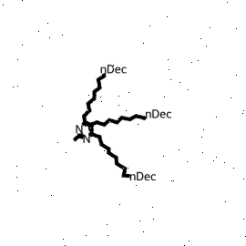 CCCCCCCCCCCCCCCCCCc1nc(C)nc(CCCCCCCCCCCCCCCCCC)c1CCCCCCCCCCCCCCCCCC